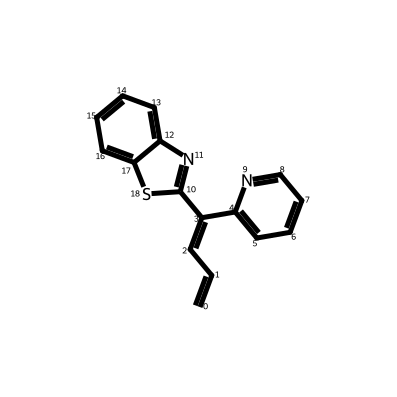 C=CC=C(c1ccccn1)c1nc2ccccc2s1